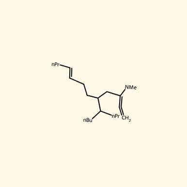 C=C=C(CC(CC/C=C/CCC)C(CCC)CCCC)NC